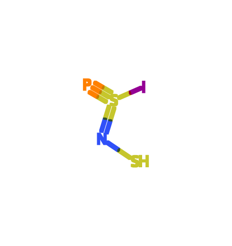 P#S(I)=NS